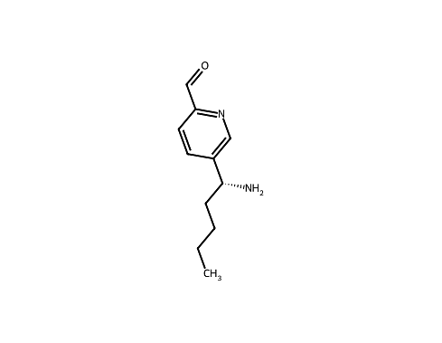 CCCC[C@@H](N)c1ccc(C=O)nc1